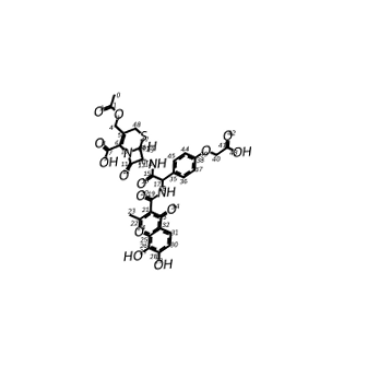 CC(=O)OCC1=C(C(=O)O)N2C(=O)[C@@H](NC(=O)C(NC(=O)c3c(C)oc4c(O)c(O)ccc4c3=O)c3ccc(OCC(=O)O)cc3)[C@@H]2SC1